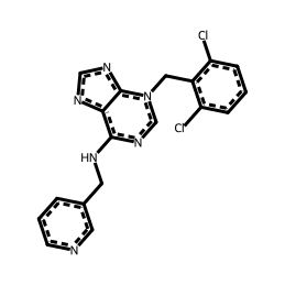 Clc1cccc(Cl)c1Cn1cnc(NCc2cccnc2)c2ncnc1-2